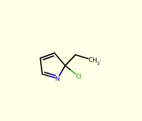 [CH2]CC1(Cl)C=CC=N1